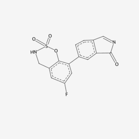 O=C1N=Cc2ccc(-c3cc(F)cc4c3OS(=O)(=O)NC4)cc21